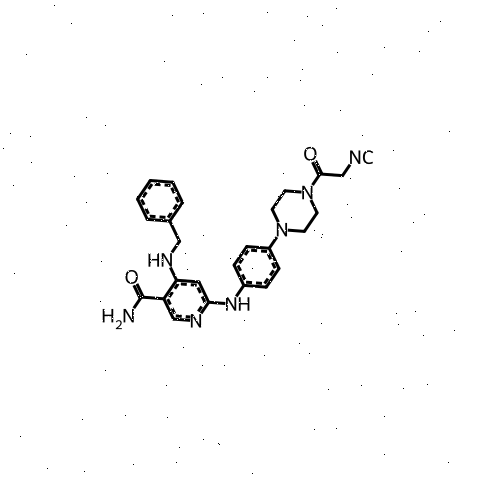 [C-]#[N+]CC(=O)N1CCN(c2ccc(Nc3cc(NCc4ccccc4)c(C(N)=O)cn3)cc2)CC1